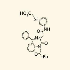 CC(C)(C)C(=O)CN1C(=O)N(CC(=O)Nc2cccc(SCC(=O)O)c2)N=C(c2ccccc2)c2ccccc21